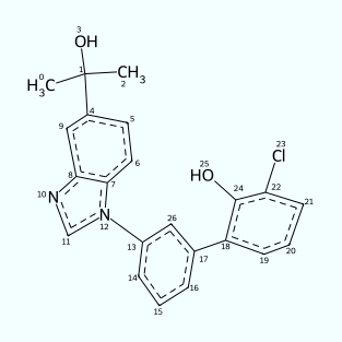 CC(C)(O)c1ccc2c(c1)ncn2-c1cccc(-c2cccc(Cl)c2O)c1